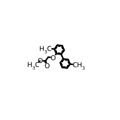 COC(=O)COc1c(C)cccc1-c1cccc(C)c1